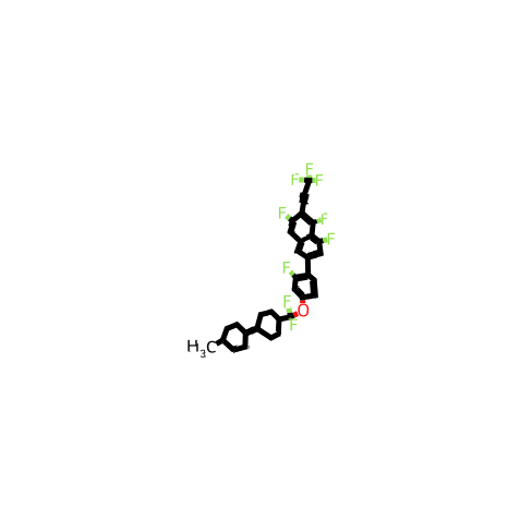 CC1CCC(C2CCC(C(F)(F)Oc3ccc(-c4cc(F)c5c(F)c(C#CC(F)(F)F)c(F)cc5c4)c(F)c3)CC2)CC1